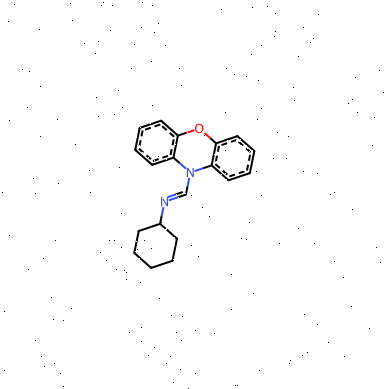 C(=NC1CCCCC1)N1c2ccccc2Oc2ccccc21